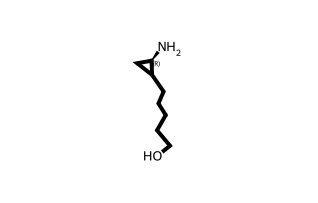 N[C@@H]1CC1CCCCCO